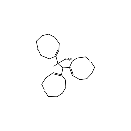 CC(C(=O)O)(/C1=C/CCCCCCCC1)C(/C1=C/CCCCCCCC1)/C1=C/CCCCCCCC1